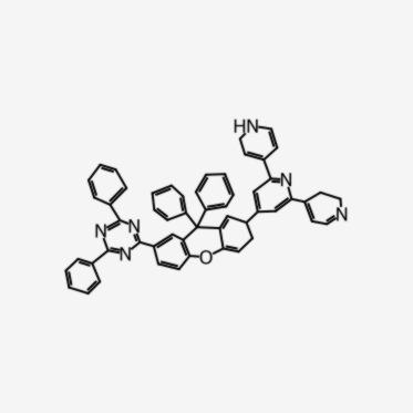 C1=CC(c2cc(C3C=C4C(=CC3)Oc3ccc(-c5nc(-c6ccccc6)nc(-c6ccccc6)n5)cc3C4(c3ccccc3)c3ccccc3)cc(C3=CC=NCC3)n2)=CCN1